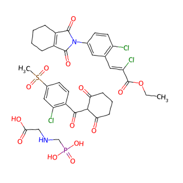 CCOC(=O)/C(Cl)=C/c1cc(N2C(=O)C3=C(CCCC3)C2=O)ccc1Cl.CS(=O)(=O)c1ccc(C(=O)C2C(=O)CCCC2=O)c(Cl)c1.O=C(O)CNCP(=O)(O)O